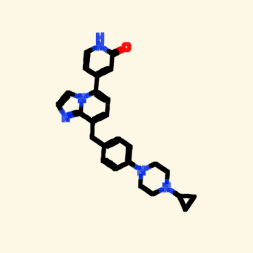 O=c1cc(-c2ccc(Cc3ccc(N4CCN(C5CC5)CC4)cc3)c3nccn23)cc[nH]1